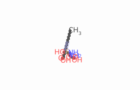 CCCCCCCC/C=C/C=C/C=C/C(SCC(N)C(=O)NCC(=O)O)C(O)CCCC(=O)O